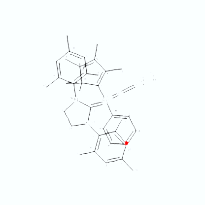 C=[C]=[Ru+2]([C]1=C(C)C(C)=C(C)C1(C)C)(=[C]1N(c2c(C)cc(C)cc2C)CCN1c1c(C)cc(C)cc1C)[c]1ccccc1.[Cl-].[Cl-]